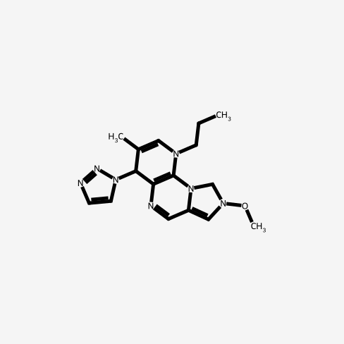 CCCN1C=C(C)C(n2ccnn2)C2=C1N1CN(OC)C=C1C=N2